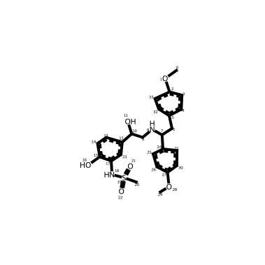 COc1ccc(CC(NCC(O)c2ccc(O)c(NS(C)(=O)=O)c2)c2ccc(OC)cc2)cc1